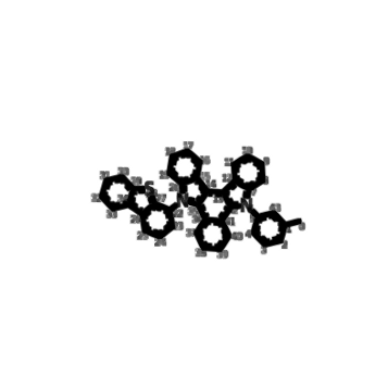 Cc1cccc(-n2c3ccccc3c3c4c5ccccc5n(-c5cccc6c5sc5ccccc56)c4c4ccccc4c32)c1